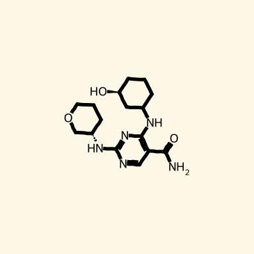 NC(=O)c1cnc(N[C@H]2CCCOC2)nc1NC1CCC[C@H](O)C1